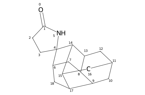 O=C1CCC2(N1)C1CC3C4CC5CC3C2C(C5)C4C1